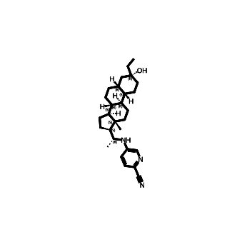 CC[C@@]1(O)CC[C@H]2[C@H](CC[C@@H]3[C@@H]2CC[C@]2(C)[C@@H]([C@@H](C)Nc4ccc(C#N)nc4)CC[C@@H]32)C1